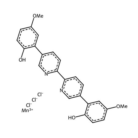 COc1ccc(O)c(-c2ccc(-c3ccc(-c4cc(OC)ccc4O)cn3)nc2)c1.[Cl-].[Cl-].[Cl-].[Mn+3]